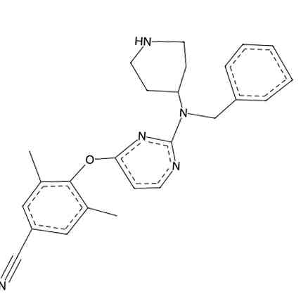 Cc1cc(C#N)cc(C)c1Oc1ccnc(N(Cc2ccccc2)C2CCNCC2)n1